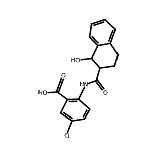 O=C(O)c1cc(Cl)ccc1NC(=O)C1CCc2ccccc2C1O